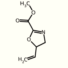 C=CC1CN=C(C(=O)OC)O1